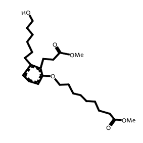 COC(=O)CCCCCCCCOc1cccc(CCCCCCO)c1CCC(=O)OC